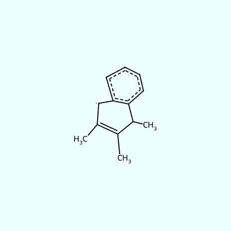 CC1=C(C)C(C)c2ccccc2[CH]1